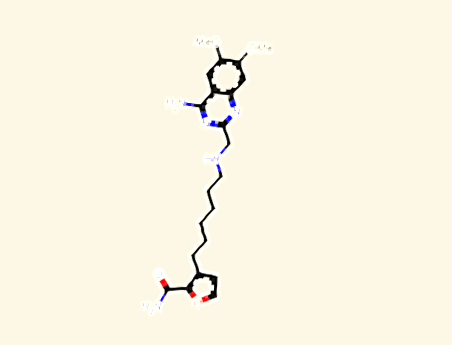 COc1cc2nc(CNCCCCCCc3ccoc3C(N)=O)nc(N)c2cc1OC